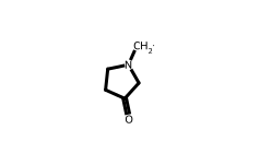 [CH2]N1CCC(=O)C1